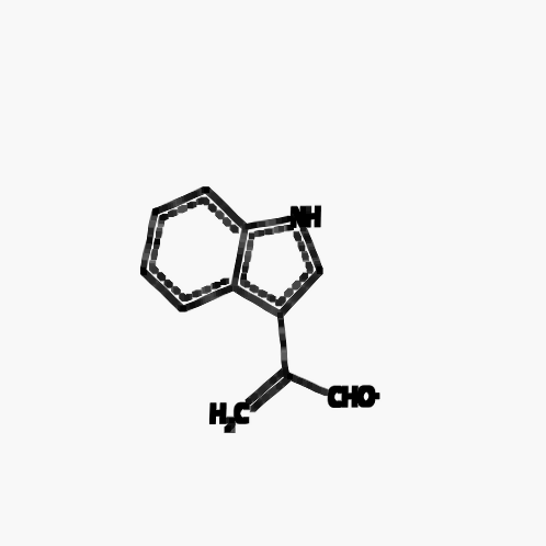 C=C([C]=O)c1c[nH]c2ccccc12